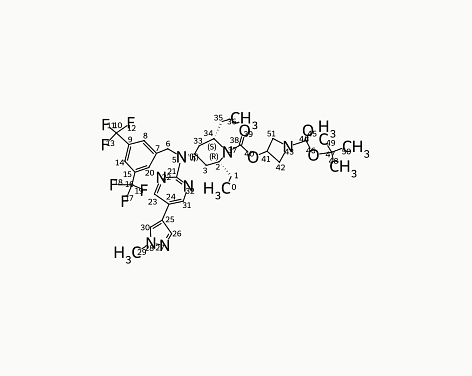 CC[C@@H]1C[C@H](N(Cc2cc(C(F)(F)F)cc(C(F)(F)F)c2)c2ncc(-c3cnn(C)c3)cn2)C[C@H](CC)N1C(=O)OC1CN(C(=O)OC(C)(C)C)C1